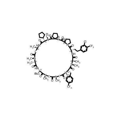 CC[C@H](C)[C@@H]1NC(=O)[C@H](C)N(C)C(=O)C[C@@H](C)NC(=O)[C@H](C2CCCC2)N(C)C(=O)C2(CCCC2)NC(=O)[C@@H]2CCCN2C(=O)[C@H](CCc2ccc(C(F)(F)F)c(Cl)c2)NC(=O)[C@@H](C)N(C)C(=O)[C@H](Cc2ccc(C(F)(F)F)cc2)N(C)C(=O)CN(C)C(=O)CN(C)C1=O